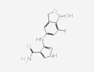 NC(=O)c1c[nH]nc1Nc1cc(F)c2c(c1)COB2O